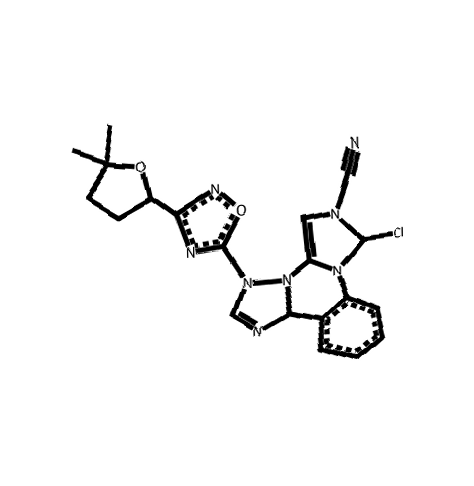 CC1(C)CCC(c2noc(N3C=NC4c5ccccc5N5C(=CN(C#N)C5Cl)N43)n2)O1